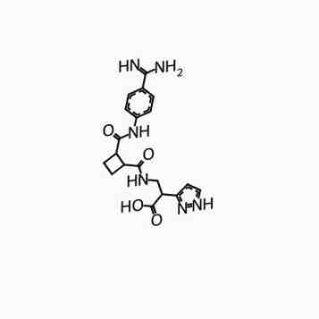 N=C(N)c1ccc(NC(=O)C2CCC2C(=O)NCC(C(=O)O)c2cc[nH]n2)cc1